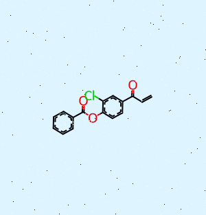 C=CC(=O)c1ccc(OC(=O)c2ccccc2)c(Cl)c1